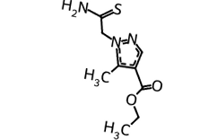 CCOC(=O)c1cnn(CC(N)=S)c1C